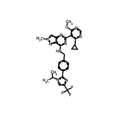 COc1ncnc(C2CC2)c1-c1nc(NCc2ccc(-c3nc(C(F)(F)F)cn3C(C)C)cc2)c2nn(C)cc2n1